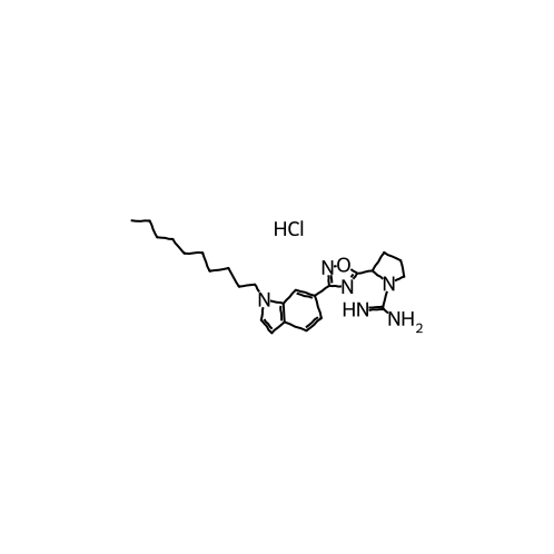 CCCCCCCCCCn1ccc2ccc(-c3noc(C4CCCN4C(=N)N)n3)cc21.Cl